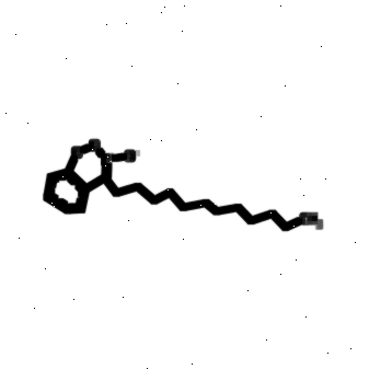 CCCCCCCCCCCCC1=[P+]([O-])OOc2ccccc21